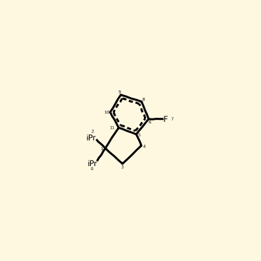 CC(C)C1(C(C)C)CCc2c(F)cccc21